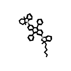 CCCCCCC1(C)CN(c2ccc3c(-c4ccccc4)c4cc(N5c6ccccc6C6(C)CCCCC56C)ccc4c(-c4ccccc4)c3c2)c2ccccc21